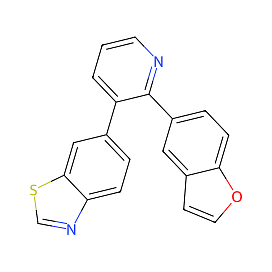 c1cnc(-c2ccc3occc3c2)c(-c2ccc3ncsc3c2)c1